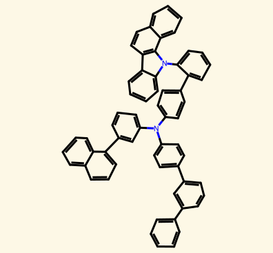 c1ccc(-c2cccc(-c3ccc(N(c4ccc(-c5ccccc5-n5c6ccccc6c6ccc7ccccc7c65)cc4)c4cccc(-c5cccc6ccccc56)c4)cc3)c2)cc1